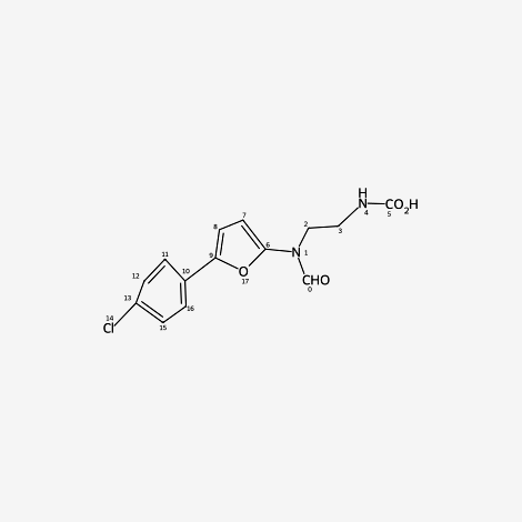 O=CN(CCNC(=O)O)c1ccc(-c2ccc(Cl)cc2)o1